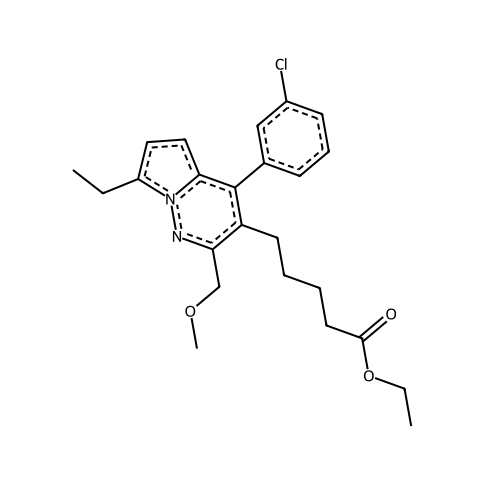 CCOC(=O)CCCCc1c(COC)nn2c(CC)ccc2c1-c1cccc(Cl)c1